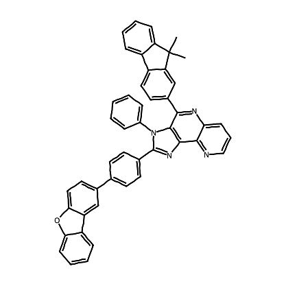 CC1(C)c2ccccc2-c2ccc(-c3nc4cccnc4c4nc(-c5ccc(-c6ccc7oc8ccccc8c7c6)cc5)n(-c5ccccc5)c34)cc21